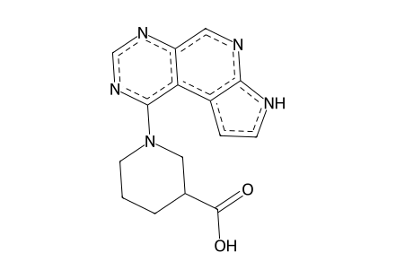 O=C(O)C1CCCN(c2ncnc3cnc4[nH]ccc4c23)C1